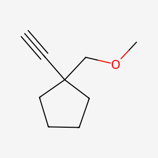 C#CC1(COC)CCCC1